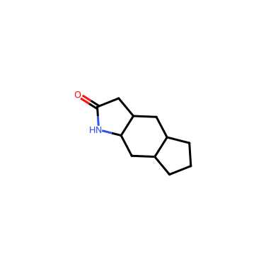 O=C1CC2CC3CCCC3CC2N1